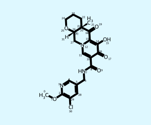 COc1ncc(CNC(=O)c2cn3c(c(O)c2=O)C(=O)[C@@]2(C)CCCO[C@H]2C3)cc1Cl